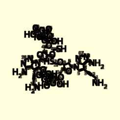 NCC#Cc1cn([C@H]2CC(OCS)[C@@H](COP(=O)(O)OP(=O)(O)OP(=O)(O)Oc3c(C#CCN)c4c(N)ncnc4n3[C@H]3CC(OCS)[C@@H](COP(=O)(O)OP(=O)(O)OP(=O)(O)O)O3)O2)c2ncnc(N)c12